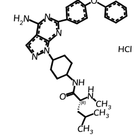 CN[C@H](CC(C)C)C(=O)NC1CCC(n2ncc3c(N)nc(-c4ccc(Oc5ccccc5)cc4)nc32)CC1.Cl